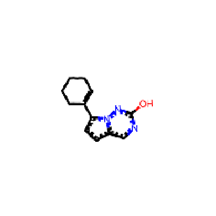 Oc1ncc2ccc(C3=CCCCC3)n2n1